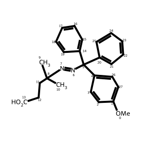 COc1ccc(C(N=NC(C)(C)CCC(=O)O)(c2ccccc2)c2ccccc2)cc1